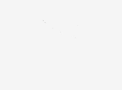 O=S(=O)(Cl)c1ccccc1-c1ccno1